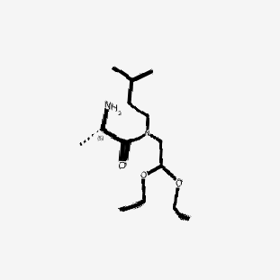 CCOC(CN(CCC(C)C)C(=O)[C@H](C)N)OCC